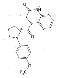 O=C1CN(C(=O)[C@H]2CCCN2c2ccc(OC(F)(F)F)cc2)c2ncccc2N1